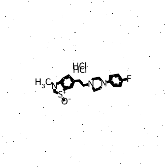 CN1C[S+]([O-])c2cc(CCN3CCN(c4ccc(F)cc4)CC3)ccc21.Cl.Cl